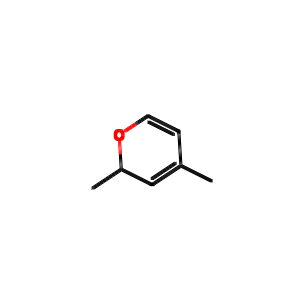 CC1=CC(C)OC=C1